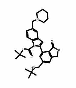 CC(C)(C)NCc1cc2c(c(-c3cc4cc(CN5CCCCC5)ccc4n3C(=O)OC(C)(C)C)c1)C(=O)NC2